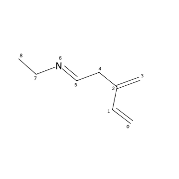 C=CC(=C)C/C=N/CC